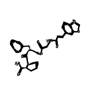 NC(=O)[C@@H]1CCCN1C(=O)[C@H](Cc1ccccc1)NC(=O)CNC(=O)/C=C/c1ccc2c(c1)OCO2